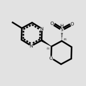 Cc1cnc([C@@H]2OCCC[C@H]2[SH](=O)=O)nc1